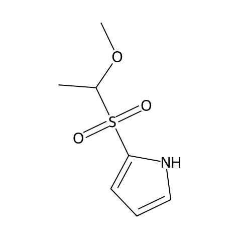 COC(C)S(=O)(=O)c1ccc[nH]1